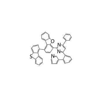 c1ccc(-c2cc(-c3ccccc3-c3cccnc3)nc(-c3ccc(-c4cccc5sc6ccccc6c45)c4c3oc3ccccc34)n2)cc1